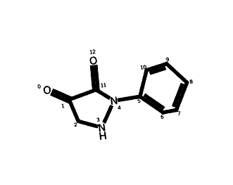 O=C1CNN(c2ccccc2)C1=O